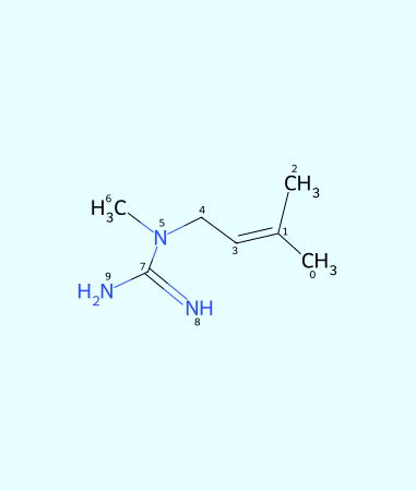 CC(C)=CCN(C)C(=N)N